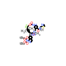 CCN(Cc1nccs1)C(=O)c1ccc2cc1CN(C)C(=O)[C@H](Nc1ccc3c(N(C(=O)OC(C)(C)C)C(=O)OC(C)(C)C)nccc3c1)c1cc(C)c(c(C)c1)C(F)(F)COC(=O)N2